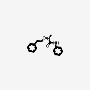 CN(OCCc1ccccc1)C(=O)Nc1ccccc1